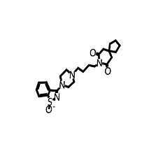 O=C1CC2(CCCC2)CC(=O)N1CCCCN1CCN(c2n[s+]([O-])c3ccccc23)CC1